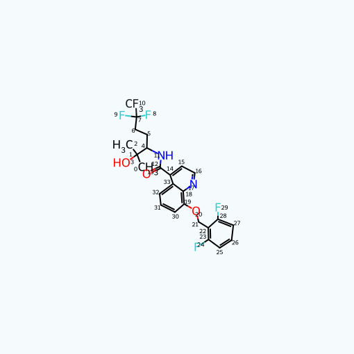 CC(C)(O)C(CCC(F)(F)C(F)(F)F)NC(=O)c1ccnc2c(OCc3c(F)cccc3F)cccc12